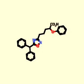 O=C(O)C(CCCc1noc(C(c2ccccc2)c2ccccc2)n1)Oc1ccccc1